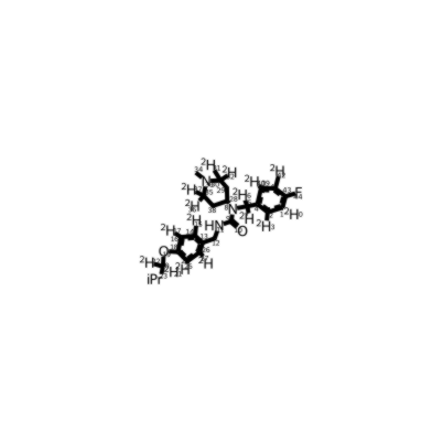 [2H]c1c([2H])c(C([2H])([2H])N(C(=O)NCc2c([2H])c([2H])c(OC([2H])([2H])C(C)C)c([2H])c2[2H])C2CC([2H])([2H])N(C)C([2H])([2H])C2)c([2H])c([2H])c1F